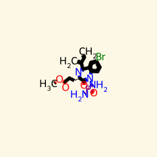 C=CC(=C)C1=N[C@@H](CCC(=O)OC)C(OP(N)(N)=O)=Nc2ccc(Br)cc21